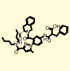 CCCCN(CCCC)C(=O)c1cc(C)n(-c2ccc(NC(=O)C(Cc3ccccc3)C(=O)O)cc2C(=O)N2Cc3ccccc3C[C@H]2CO)n1